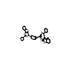 c1ccc(-c2nc(-c3ccc(-c4nc(-c5ccccc5)c5c(n4)sc4ccccc45)cc3)c3sc4ccccc4c3n2)cc1